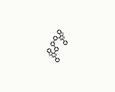 c1ccc(-c2nc(-c3cccc(-c4cccc(-c5cccc(-c6nc(-c7ccccc7)nc7sc8ccccc8c67)c5)c4)c3)c3c(n2)sc2ccccc23)cc1